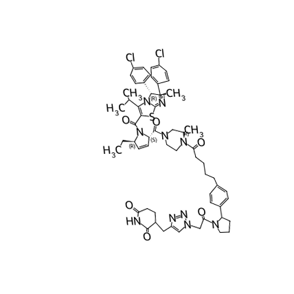 CC[C@@H]1C=C[C@@H](C(=O)N2CCN(C(=O)CCCCc3ccc(C4CCCN4C(=O)Cn4cc(CC5CCC(=O)NC5=O)nn4)cc3)[C@H](C)C2)N1C(=O)C1=C(C(C)C)N2C(=N[C@@](C)(c3ccc(Cl)cc3)[C@H]2c2ccc(Cl)cc2)S1